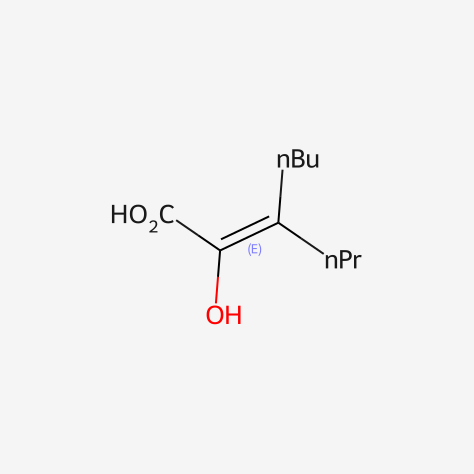 CCCC/C(CCC)=C(/O)C(=O)O